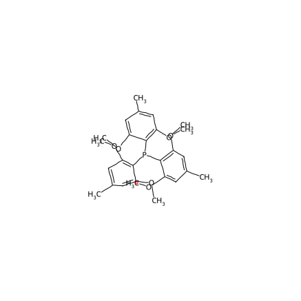 COc1cc(C)cc(OC)c1P(c1c(OC)cc(C)cc1OC)c1c(OC)cc(C)cc1OC